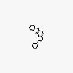 Clc1c2ccccc2nc2c1ccc1ccc(-c3ccccc3)nc12